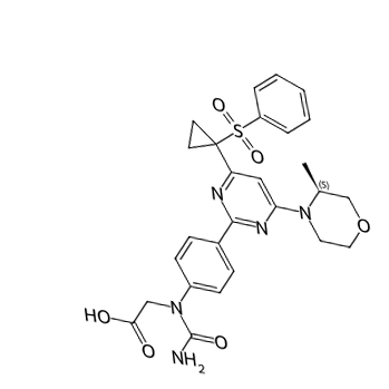 C[C@H]1COCCN1c1cc(C2(S(=O)(=O)c3ccccc3)CC2)nc(-c2ccc(N(CC(=O)O)C(N)=O)cc2)n1